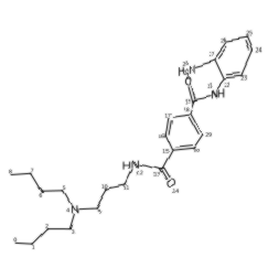 CCCCN(CCCC)CCCNC(=O)c1ccc(C(=O)Nc2ccccc2N)cc1